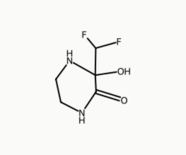 O=C1NCCNC1(O)C(F)F